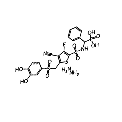 N.N.N#Cc1c(CS(=O)(=O)c2ccc(O)c(O)c2)sc(S(=O)(=O)NC(c2ccccc2)P(=O)(O)O)c1F